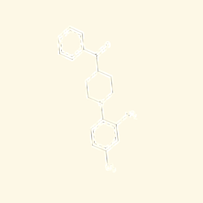 O=C(c1ccccc1)C1CCN(c2ccc(C(F)(F)F)cc2[N+](=O)[O-])CC1